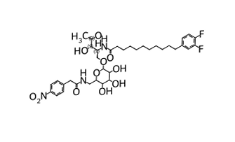 C[C@@H](O)[C@@H](O)[C@H](COC1OC(CNC(=O)Cc2ccc([N+](=O)[O-])cc2)C(O)C(O)C1O)NC(=O)CCCCCCCCCCc1ccc(F)c(F)c1